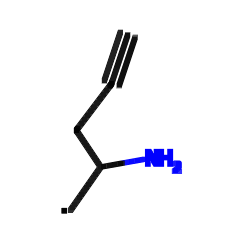 C#CCC([CH2])N